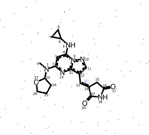 CN(c1cc(NC2CC2)n2ncc(/C=C3\CC(=O)NC3=O)c2n1)C1CCCO1